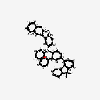 CC1(C)c2ccccc2-c2c(-c3ccc(N(c4ccccc4)c4ccc5oc6cc7ccccc7cc6c5c4)c(-c4ccccc4)c3)cccc21